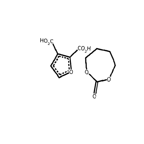 O=C(O)c1ccoc1C(=O)O.O=C1OCCCCO1